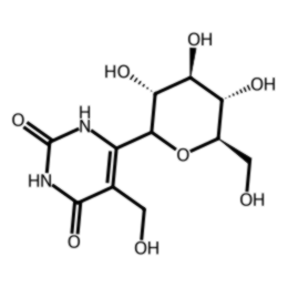 O=c1[nH]c(C2O[C@H](CO)[C@@H](O)[C@H](O)[C@H]2O)c(CO)c(=O)[nH]1